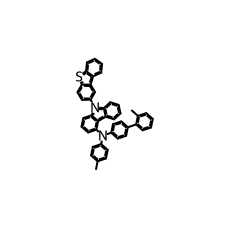 Cc1ccc(N(c2ccc(-c3ccccc3C)cc2)c2cccc3c2c2ccccc2n3-c2ccc3sc4ccccc4c3c2)cc1